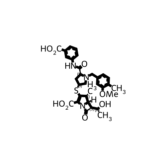 COc1cc(CN2C[C@@H](SC3=C(C(=O)O)N4C(=O)[C@H]([C@@H](C)O)[C@H]4[C@H]3C)C[C@H]2C(=O)Nc2cccc(C(=O)O)c2)ccc1C